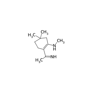 CNC1=C(C(C)=N)CCC(C)(C)C1